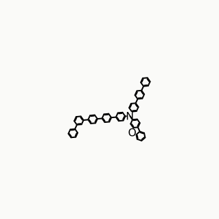 c1ccc(-c2ccc(-c3ccc(N(c4ccc(-c5ccc(-c6ccc(-c7cccc(-c8ccccc8)c7)cc6)cc5)cc4)c4ccc5c(c4)oc4ccccc45)cc3)cc2)cc1